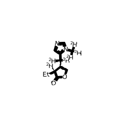 [2H]C([2H])(c1cncn1C([2H])([2H])[2H])[C@H]1COC(=O)[C@@]1([2H])CC